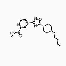 CCCCC[C@H]1CC[C@H](c2nc(-c3ccnc(C(=O)NC)c3)no2)CC1